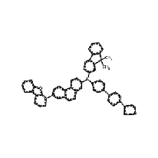 CC1(C)c2ccccc2-c2ccc(N(c3ccc(-c4ccc(-c5ccccc5)cc4)cc3)c3ccc4c(ccc5cc(-c6cccc7c6oc6ccccc67)ccc54)c3)cc21